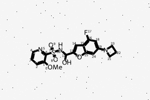 COc1cccnc1S(=O)(=O)NC(O)c1cc2c(F)cc(N3CCC3)cc2o1